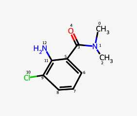 CN(C)C(=O)c1cccc(Cl)c1N